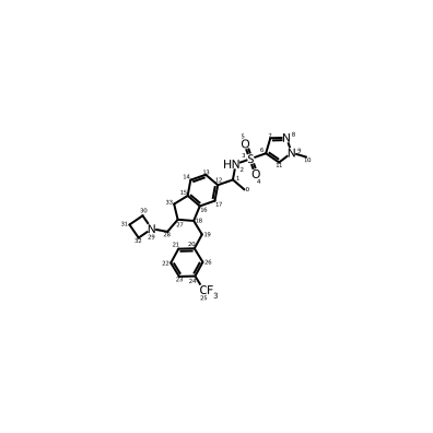 CC(NS(=O)(=O)c1cnn(C)c1)c1ccc2c(c1)C(Cc1cccc(C(F)(F)F)c1)C(CN1CCC1)C2